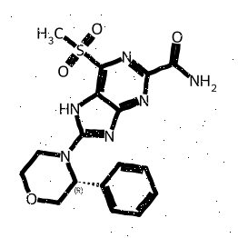 CS(=O)(=O)c1nc(C(N)=O)nc2nc(N3CCOC[C@H]3c3ccccc3)[nH]c12